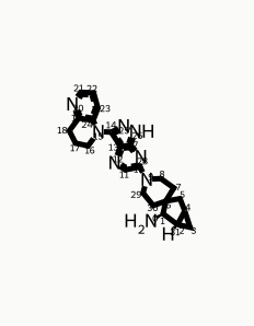 N[C@@H]1[C@H]2CC2CC12CCN(c1cnc3c(N4CCCc5ncccc54)n[nH]c3n1)CC2